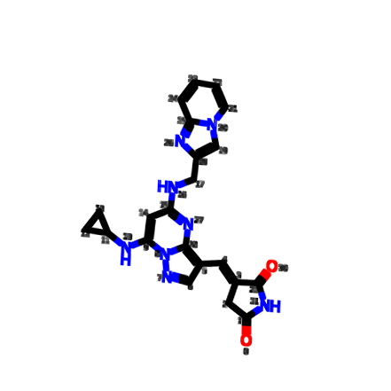 O=C1C/C(=C\c2cnn3c(NC4CC4)cc(NCc4cn5ccccc5n4)nc23)C(=O)N1